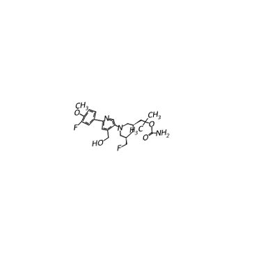 COc1ccc(-c2cc(CO)c(N3C[C@H](CF)C[C@H](CC(C)(C)OC(N)=O)C3)cn2)cc1F